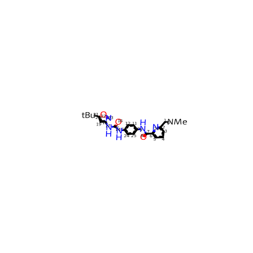 CNCc1cccc(C(=O)Nc2ccc(NC(=O)Nc3cc(C(C)(C)C)on3)cc2)n1